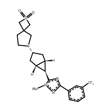 CC(C)(C)n1nc(-c2cccc(C(F)(F)F)c2)nc1[C@H]1[C@@H]2C[C@H](N3CCC4(C3)CS(=O)(=O)C4)C[C@@H]21